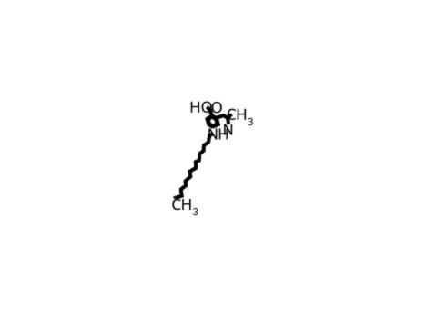 CCCCCCCCCCCCCCCCNc1ccc(C(=O)O)c(CC(C)C#N)c1